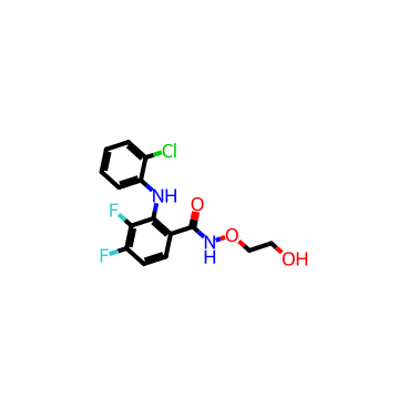 O=C(NOCCO)c1ccc(F)c(F)c1Nc1ccccc1Cl